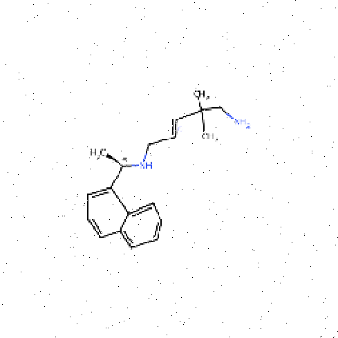 C[C@@H](NC/C=C/C(C)(C)CN)c1cccc2ccccc12